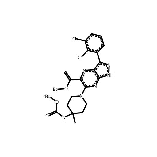 C=C(OCC)c1nc2c(-c3cccc(Cl)c3Cl)n[nH]c2nc1N1CCC(C)(NC(=O)OC(C)(C)C)CC1